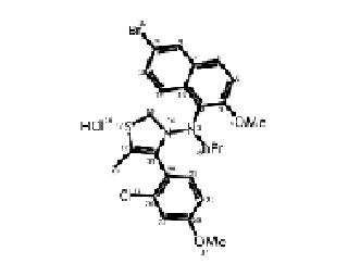 CCCN(c1c(OC)ccc2cc(Br)ccc12)N1CSC(C)=C1c1ccc(OC)cc1Cl.Cl